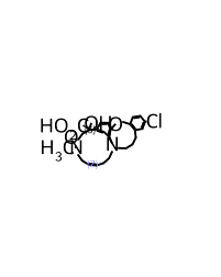 CN1CC/C=C\CCCN2CCCCc3cc(Cl)ccc3COc3ccc(cc32)[C@](O)(C(=O)O)CC1=O